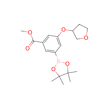 COC(=O)c1cc(OC2CCOC2)cc(B2OC(C)(C)C(C)(C)O2)c1